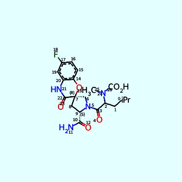 CC(C)CC(C(=O)N1C[C@@]2(C[C@H]1C(N)=O)Oc1ccc(F)cc1NC2=O)N(C)C(=O)O